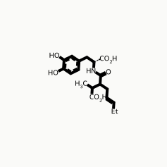 CC/C=C/CC(C(=O)N[C@H](Cc1ccc(O)c(O)c1)C(=O)O)C(C)C(=O)O